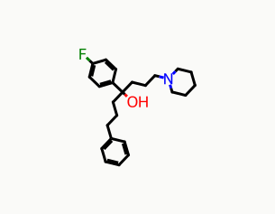 OC(CCCc1ccccc1)(CCCN1CCCCC1)c1ccc(F)cc1